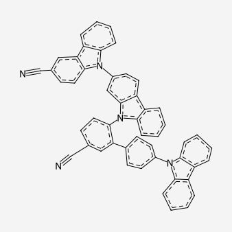 N#Cc1ccc(-n2c3ccccc3c3ccc(-n4c5ccccc5c5cc(C#N)ccc54)cc32)c(-c2ccc(-n3c4ccccc4c4ccccc43)cc2)c1